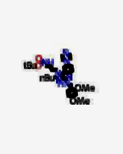 CCCCc1nc2c(NCc3ccc(OC)cc3OC)nc3ccc(N4CCN(C)CC4)cc3c2n1CCCCNC(=O)OC(C)(C)C